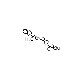 CC(=NOCCOC1CCN(C(=O)OC(C)(C)C)CC1)c1ccc2ccccc2c1